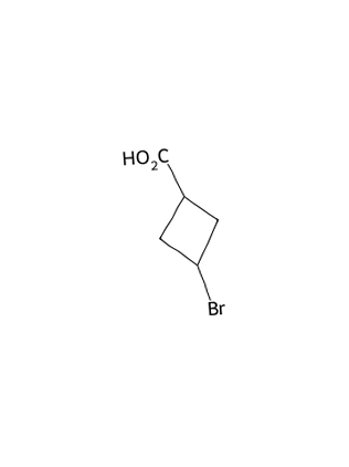 O=C(O)C1CC(Br)C1